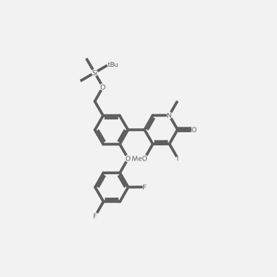 COc1c(-c2cc(CO[Si](C)(C)C(C)(C)C)ccc2Oc2ccc(F)cc2F)cn(C)c(=O)c1I